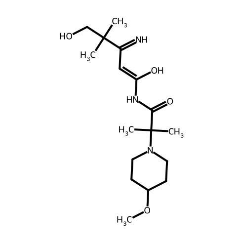 COC1CCN(C(C)(C)C(=O)N/C(O)=C/C(=N)C(C)(C)CO)CC1